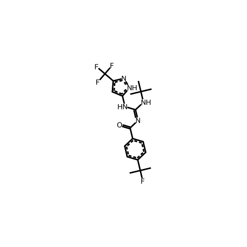 CC(C)(C)N/C(=N/C(=O)c1ccc(C(C)(C)F)cc1)Nc1cc(C(F)(F)F)n[nH]1